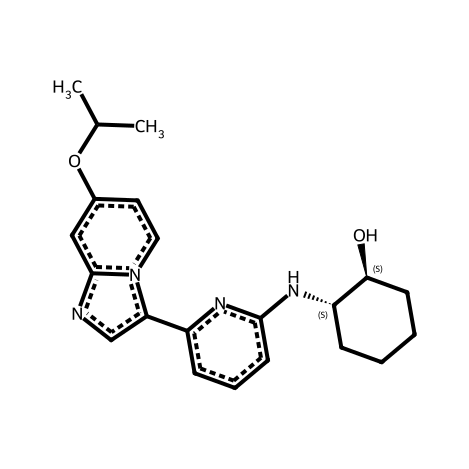 CC(C)Oc1ccn2c(-c3cccc(N[C@H]4CCCC[C@@H]4O)n3)cnc2c1